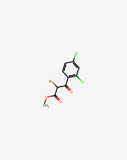 COC(=O)C(Br)C(=O)c1ccc(Cl)cc1Cl